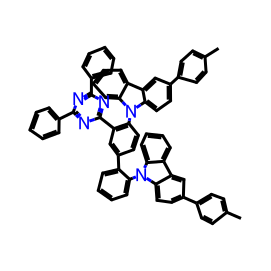 Cc1ccc(-c2ccc3c(c2)c2ccccc2n3-c2ccccc2-c2ccc(-n3c4ccccc4c4cc(-c5ccc(C)cc5)ccc43)c(-c3nc(-c4ccccc4)nc(-c4ccccc4)n3)c2)cc1